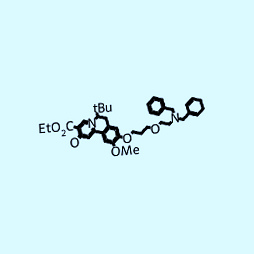 CCOC(=O)c1cn2c(cc1=O)-c1cc(OC)c(OCCCOCCN(CC3=CCCC=C3)Cc3ccccc3)cc1CC2C(C)(C)C